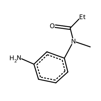 CCC(=O)N(C)c1cccc(N)c1